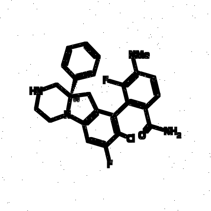 CNc1ccc(C(N)=O)c(-c2c(Cl)c(F)cc3c2C[C@]2(c4ccccc4)CNCCN32)c1F